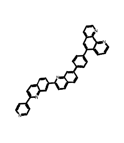 c1cnc2c(c1)cc(-c1ccc(-c3ccc4ccc(-c5ccc6ccc(-c7ccncc7)nc6c5)nc4c3)cc1)c1cccnc12